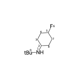 CC(C)(C)NC1CCC(F)CC1